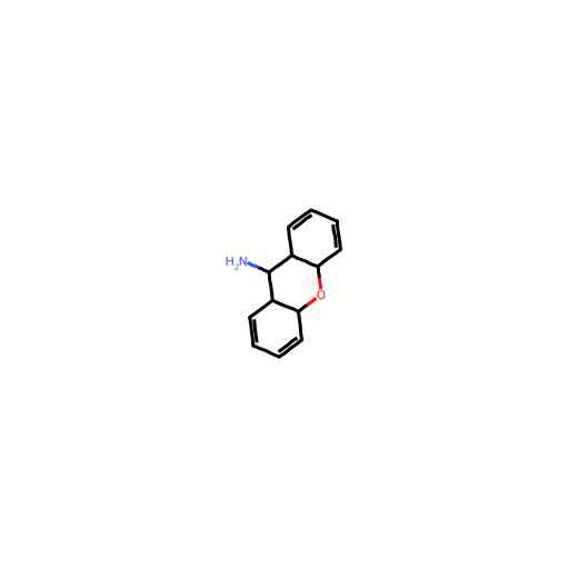 NC1C2C=CC=CC2OC2C=CC=CC21